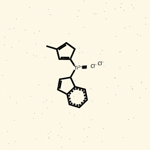 [CH2]=[Ti+2]([C]1=CC(C)=CC1)[CH]1C=Cc2ccccc21.[Cl-].[Cl-]